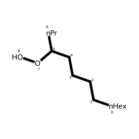 CCCCCCCCCCC(CCC)OO